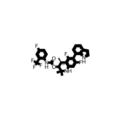 C[C@H]1c2c(cc(F)c(-c3cccc4cc[nH]c34)c2F)NC(C)(C)C1OC(=O)Nc1ccc(F)cc1C(F)(F)F